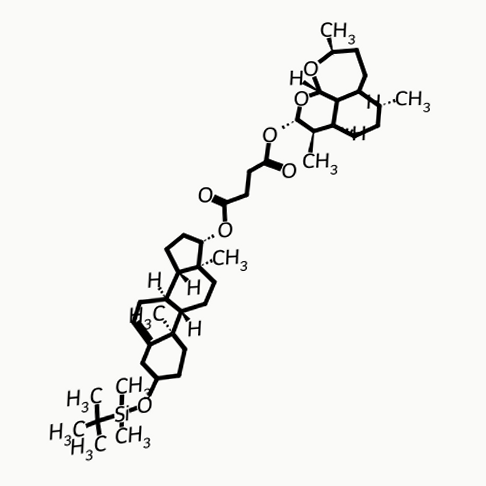 C[C@H]1[C@H](OC(=O)CCC(=O)O[C@H]2CC[C@H]3[C@@H]4CC=C5CC(O[Si](C)(C)C(C)(C)C)CC[C@]5(C)[C@H]4CC[C@]23C)O[C@@H]2O[C@@H](C)CC[C@@H]3C2[C@H]1CC[C@H]3C